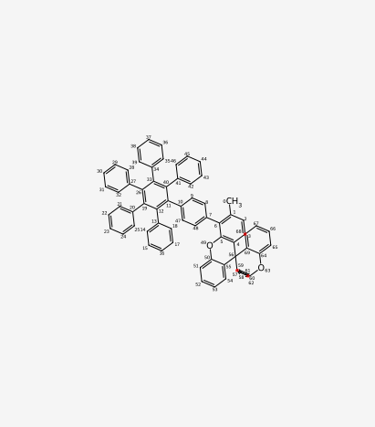 Cc1ccc2c(c1-c1ccc(-c3c(-c4ccccc4)c(-c4ccccc4)c(-c4ccccc4)c(-c4ccccc4)c3-c3ccccc3)cc1)Oc1ccccc1C21c2ccccc2Oc2ccccc21